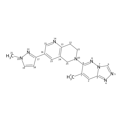 Cc1cc2nncn2nc1N1CCc2ncc(-c3ccn(C)n3)cc2C1